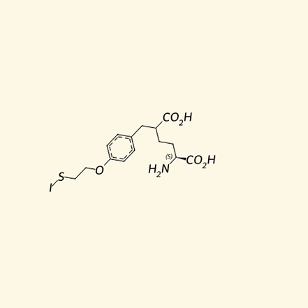 N[C@@H](CCC(Cc1ccc(OCCSI)cc1)C(=O)O)C(=O)O